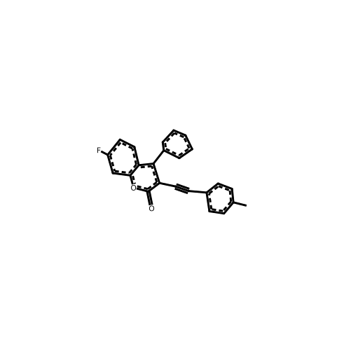 Cc1ccc(C#Cc2c(-c3ccccc3)c3ccc(F)cc3oc2=O)cc1